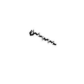 CCSCCSCCCSCCSCCc1ccccn1